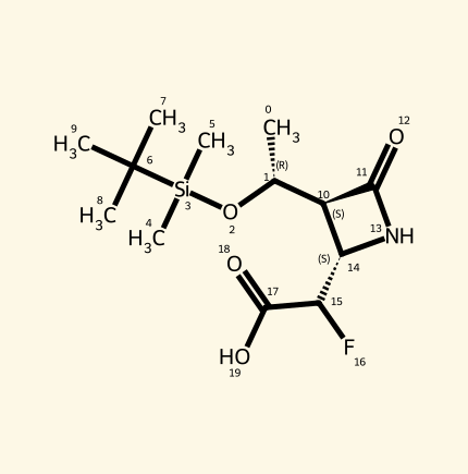 C[C@@H](O[Si](C)(C)C(C)(C)C)[C@H]1C(=O)N[C@@H]1C(F)C(=O)O